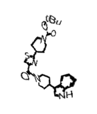 CC(C)(C)OC(=O)N1CCC(c2nc(C(=O)N3CCC(c4c[nH]c5ccccc45)CC3)cs2)CC1